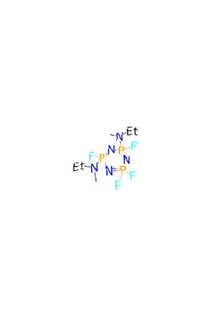 CCN(C)P1(F)=NP(F)(F)=NP(F)(N(C)CC)=N1